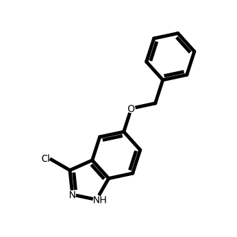 Clc1n[nH]c2ccc(OCc3ccccc3)cc12